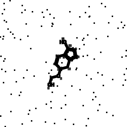 OCON1C=Nc2c(ncn2O)C1